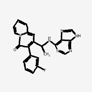 CC(Nc1ncnc2[nH]cnc12)c1cc2ccccn2c(=O)c1-c1cccc(F)c1